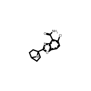 NC(=O)c1c(Cl)ccc2oc(C34CCC(CC3)N4)nc12